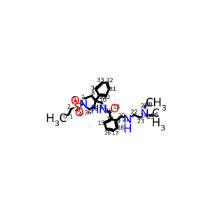 CCCS(=O)(=O)N1CCC(CNC(=O)c2ccccc2CNCCN(CC)CC)(c2ccccc2)CC1